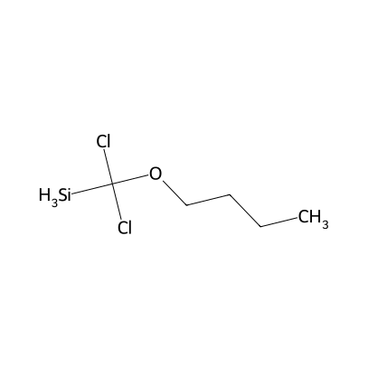 CCCCOC([SiH3])(Cl)Cl